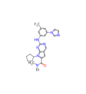 CCN(C)C(=O)c1cc2cnc(Nc3cc(-n4ccnc4)cc(C(F)(F)F)c3)nc2n1C1CCCC1